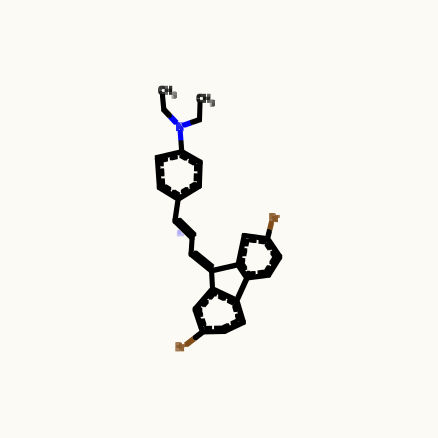 CCN(CC)c1ccc(/C=C/C=C2c3cc(Br)ccc3-c3ccc(Br)cc32)cc1